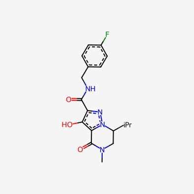 CC(C)C1CN(C)C(=O)c2c(O)c(C(=O)NCc3ccc(F)cc3)nn21